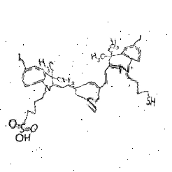 CC1(C)C(/C=C/C2=CC(=C/C=C3/N(CCCCS(=O)(=O)O)c4ccc(I)cc4C3(C)C)/CSC2)=[N+](CCCCS)c2ccc(I)cc21